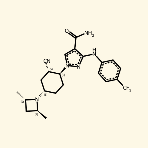 C[C@H]1C[C@H](C)N1[C@H]1CC[C@H](n2cc(C(N)=O)c(Nc3ccc(C(F)(F)F)cc3)n2)[C@@H](C#N)C1